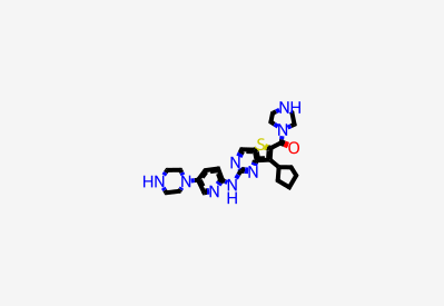 O=C(c1sc2cnc(Nc3ccc(N4CCNCC4)cn3)nc2c1C1CCCC1)N1CCNCC1